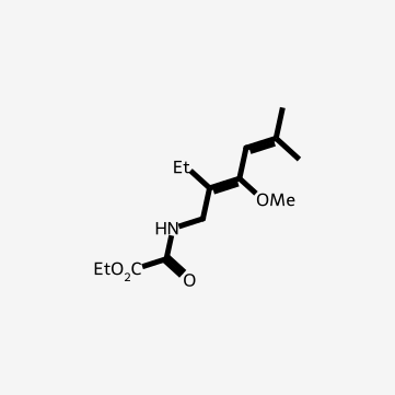 CCOC(=O)C(=O)NC/C(CC)=C(/C=C(C)C)OC